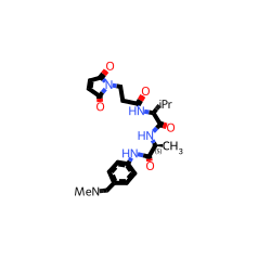 CNCc1ccc(NC(=O)[C@H](C)NC(=O)C(NC(=O)CCN2C(=O)C=CC2=O)C(C)C)cc1